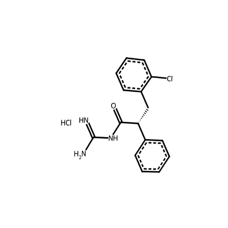 Cl.N=C(N)NC(=O)[C@H](Cc1ccccc1Cl)c1ccccc1